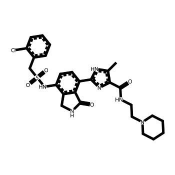 Cc1[nH]c(-c2ccc(NS(=O)(=O)Cc3ccccc3Cl)c3c2C(=O)NC3)nc1C(=O)NCCN1CCCCC1